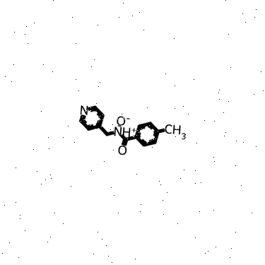 Cc1ccc(C(=O)[NH+]([O-])Cc2ccncc2)cc1